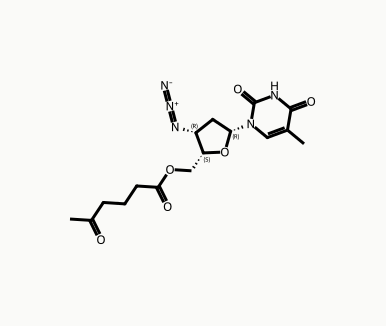 CC(=O)CCCC(=O)OC[C@H]1O[C@@H](n2cc(C)c(=O)[nH]c2=O)C[C@H]1N=[N+]=[N-]